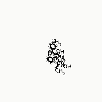 CCCCC(C(=O)NO)N1C(=O)C(O)=C(C(=O)c2ccc(C)cc2)C1c1ccccc1F